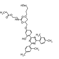 C=CC(=O)OCCNC(=O)OC(COCCCCCCCCCCCCC)COc1ccc(-c2nc(-c3ccc(C)cc3C)nc(-c3ccc(C)cc3C)n2)c(O)c1